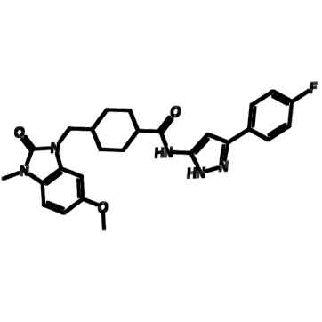 COc1ccc2c(c1)n(CC1CCC(C(=O)Nc3cc(-c4ccc(F)cc4)n[nH]3)CC1)c(=O)n2C